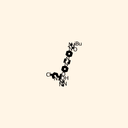 CCC(C)n1ncn(-c2ccc(N3CCN(c4ccc(OCC(O)(Cn5cncn5)c5ccc(Cl)cn5)cc4)CC3)cc2)c1=O